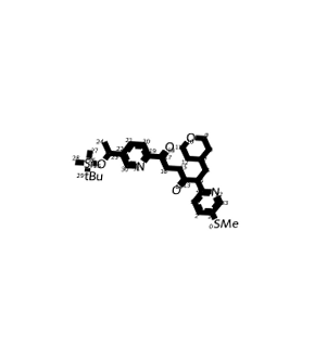 CSc1ccc(C(CC2CCOCC2)C(=O)CCC(=O)c2ccc(C(C)O[Si](C)(C)C(C)(C)C)cn2)nc1